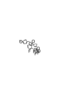 COc1ccc(COC(=O)C2(c3cccc(F)c3C)C=C(OS(=O)(=O)C(F)(F)F)CC2)cc1